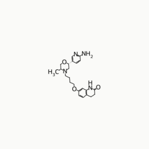 C[C@H]1CO[C@H](c2ccc(N)nc2)CN1CCCCOc1ccc2c(c1)NC(=O)CC2